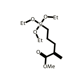 C=C(CCC[Si](OCC)(OCC)OCC)C(=O)OC